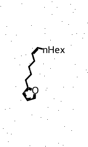 CCCCCC/C=C\CCCCc1ccco1